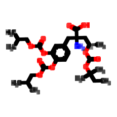 CCC(C)(C)OC(=O)O[C@@H](C)CC(N)(Cc1ccc(OC(=O)OCC(C)C)c(OC(=O)OCC(C)C)c1)C(=O)O